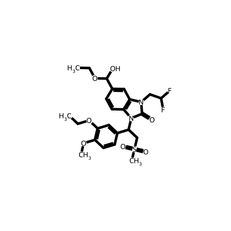 CCOc1cc(C(CS(C)(=O)=O)n2c(=O)n(CC(F)F)c3cc(C(O)OCC)ccc32)ccc1OC